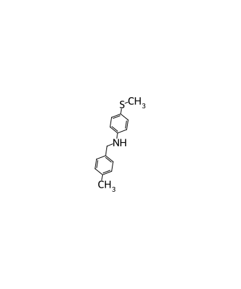 CSc1ccc(NCc2ccc(C)cc2)cc1